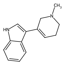 CN1CCC=C(c2c[nH]c3ccccc23)C1